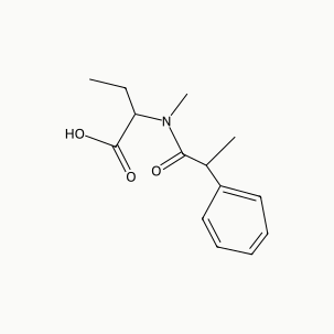 CCC(C(=O)O)N(C)C(=O)C(C)c1ccccc1